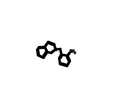 Bc1ccccc1CN1C=Cc2ccccc2C1